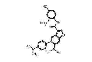 CC(=O)N(C)c1ccc(-c2cc3c(C(=O)Nc4ccc(C#N)cc4C(=O)O)noc3cc2N(C)C(C)=O)cc1